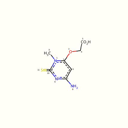 Cn1c(OCC(=O)O)cc(N)nc1=S